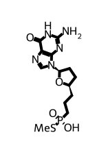 CSP(=O)(O)CCC[C@@H]1CC[C@H](n2cnc3c(=O)[nH]c(N)nc32)O1